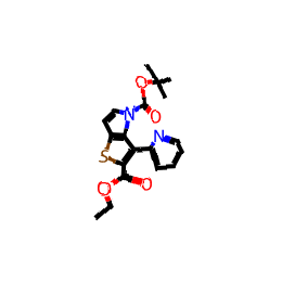 CCOC(=O)c1sc2ccn(C(=O)OC(C)(C)C)c2c1-c1ccccn1